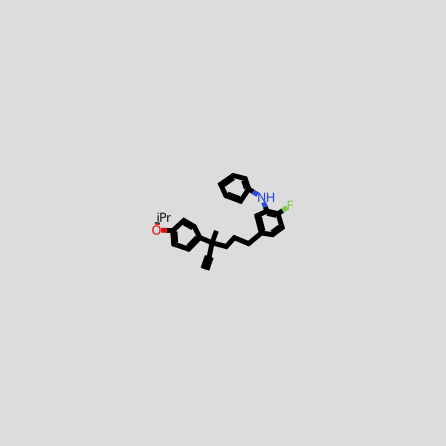 C#CC(C)(CCCc1ccc(F)c(Nc2ccccc2)c1)c1ccc(OC(C)C)cc1